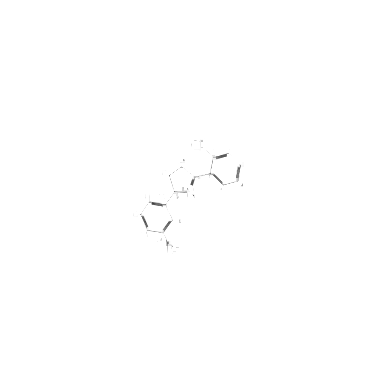 Clc1ccccc1C1=NC(c2cccc(Br)c2)CC1